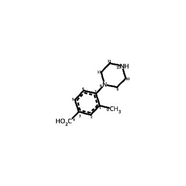 Cc1cc(C(=O)O)ccc1N1CCNCC1